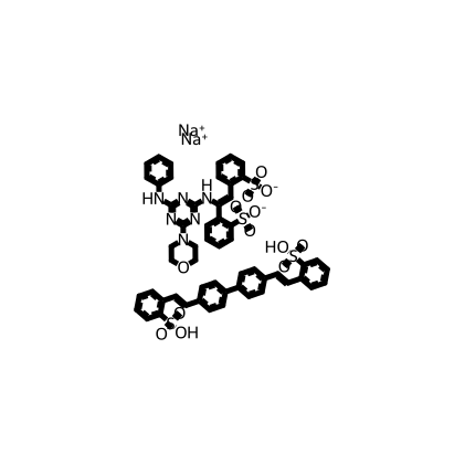 O=S(=O)(O)c1ccccc1C=Cc1ccc(-c2ccc(C=Cc3ccccc3S(=O)(=O)O)cc2)cc1.O=S(=O)([O-])c1ccccc1C=C(Nc1nc(Nc2ccccc2)nc(N2CCOCC2)n1)c1ccccc1S(=O)(=O)[O-].[Na+].[Na+]